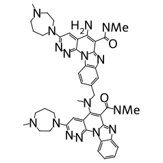 CNC(=O)c1c(N)c2cc(N3CCCN(C)CC3)nnc2n2c1nc1cc(CN(C)c3c(C(=O)NC)c4nc5ccccc5n4c4nnc(N5CCCN(C)CC5)cc34)ccc12